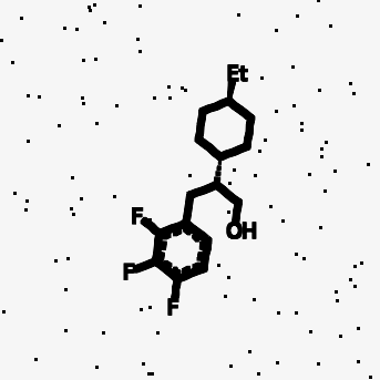 CC[C@H]1CC[C@H](C(CO)Cc2ccc(F)c(F)c2F)CC1